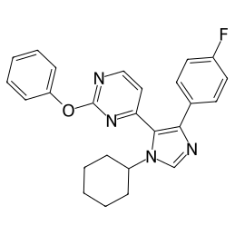 Fc1ccc(-c2ncn(C3CCCCC3)c2-c2ccnc(Oc3ccccc3)n2)cc1